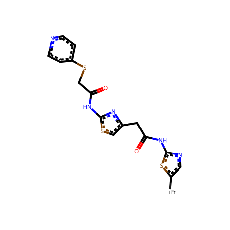 CC(C)c1cnc(NC(=O)Cc2csc(NC(=O)CSc3ccncc3)n2)s1